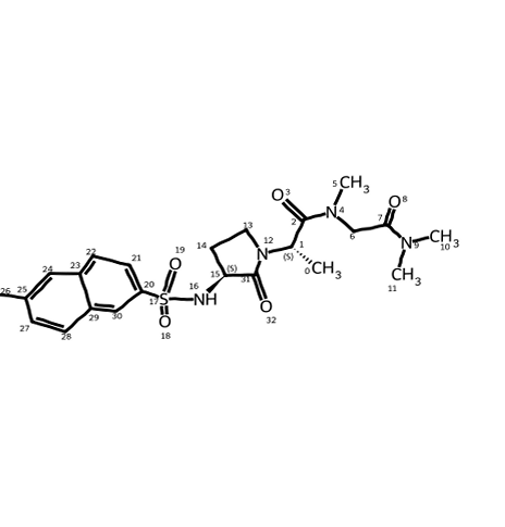 C[C@@H](C(=O)N(C)CC(=O)N(C)C)N1CC[C@H](NS(=O)(=O)c2ccc3cc(Cl)ccc3c2)C1=O